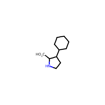 O=C(O)C1NCCC1C1CCCCC1